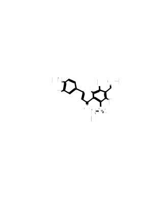 CC(=O)N(N)c1c(F)c(CO)c(F)c2oc(-c3ccc(N)c(F)c3)cc(=O)c12